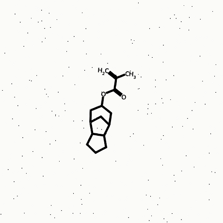 C=C(C)C(=O)OC1CC2CC(C1)C1CCCC21